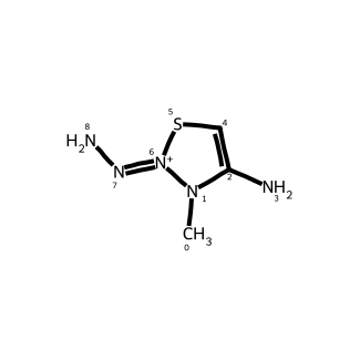 CN1C(N)=CS[N+]1=NN